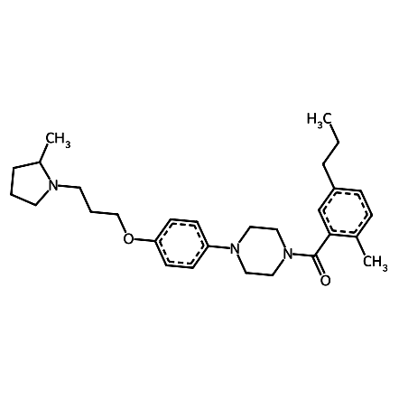 CCCc1ccc(C)c(C(=O)N2CCN(c3ccc(OCCCN4CCCC4C)cc3)CC2)c1